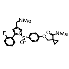 CNCc1cc(-c2ccccc2F)n([S+]([O-])c2ccc(OCC3(C(=O)NC)CC3)cc2)c1